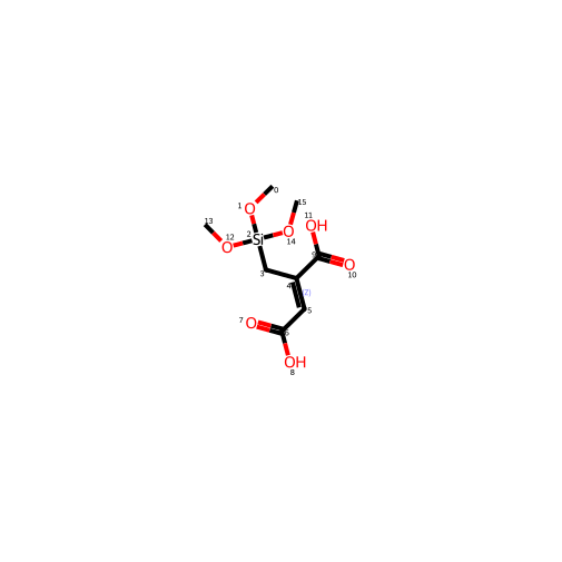 CO[Si](C/C(=C\C(=O)O)C(=O)O)(OC)OC